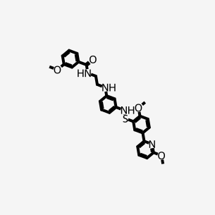 COc1cccc(C(=O)NCCNc2cccc(NSc3cc(-c4cccc(OC)n4)ccc3OC)c2)c1